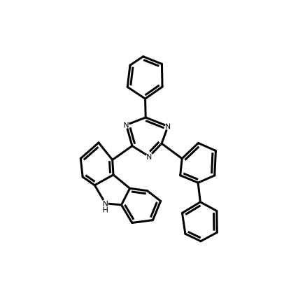 c1ccc(-c2cccc(-c3nc(-c4ccccc4)nc(-c4cccc5[nH]c6ccccc6c45)n3)c2)cc1